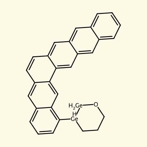 c1ccc2cc3cc4c(ccc5cc6ccc[c]([GeH]7[CH2]CC[O][GeH2]7)c6cc54)cc3cc2c1